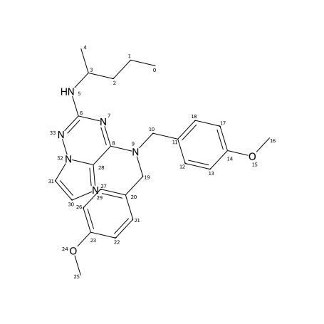 CCCC(C)Nc1nc(N(Cc2ccc(OC)cc2)Cc2ccc(OC)cc2)c2nccn2n1